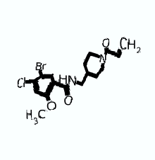 C=CC(=O)N1CCC(CNC(=O)c2cc(Br)c(Cl)cc2OC)CC1